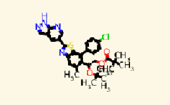 Cc1cc2nc(-c3cnc4[nH]ncc4c3)sc2c(-c2ccc(Cl)cc2)c1[C@@H](COC(=O)C(C)(C)C)OC(C)(C)C